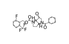 O=C1CN(C(=O)c2ccccc2)[C@@H]2CCN(C(=O)OCc3c(F)cccc3C(F)(F)F)[C@H]12